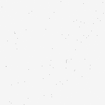 [Fe][C]1=CCC=C1